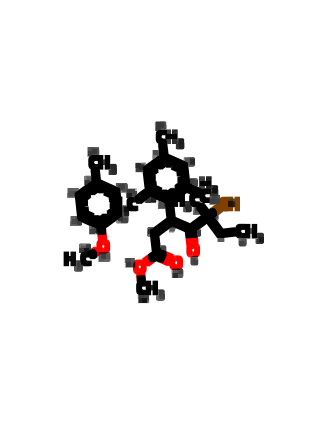 CCC(C)(S)C(=O)C(CC(=O)OC)c1c(C)cc(C)cc1C.COc1ccc(C)cc1